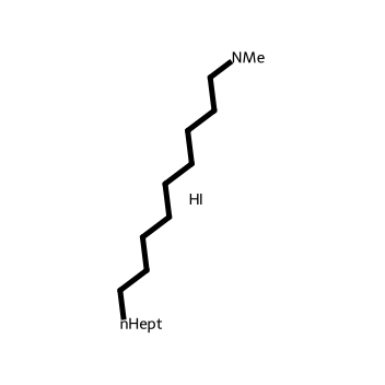 CCCCCCCCCCCCCCCCNC.I